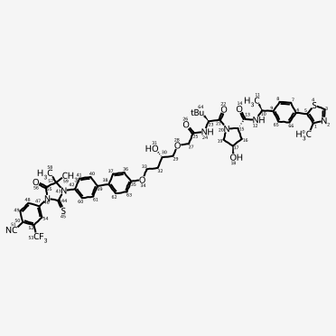 Cc1ncsc1-c1ccc([C@H](C)NC(=O)[C@@H]2C[C@@H](O)CN2C(=O)[C@@H](NC(=O)COC[C@@H](O)CCOc2ccc(-c3ccc(N4C(=S)N(c5ccc(C#N)c(C(F)(F)F)c5)C(=O)C4(C)C)cc3)cc2)C(C)(C)C)cc1